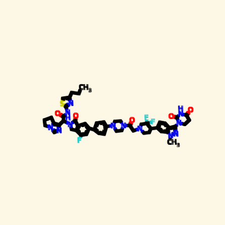 CCCc1csc(NC(=O)C(c2ncn3c2CCC3)N2Cc3c(F)cc(-c4ccc(N5CCN(C(=O)CN6CCC(c7ccc8c(N9CCC(=O)NC9=O)nn(C)c8c7)C(F)(F)C6)CC5)cc4)cc3C2=O)n1